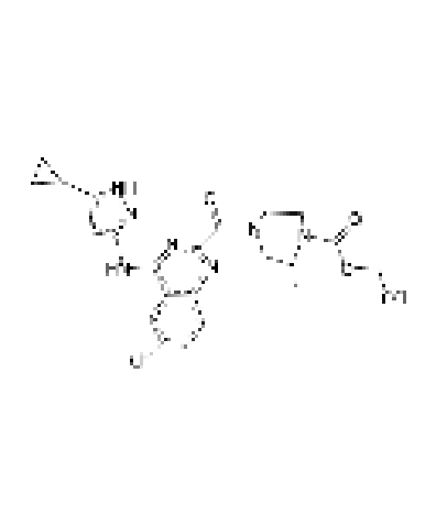 CC1CN(C(=O)c2nc(Nc3cc(C4CC4)[nH]n3)c3cc(Cl)ccc3n2)CCN1C(=O)OCC(Cl)(Cl)Cl